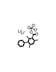 Cc1cc(C)c(-c2ccccc2)c(C)c1C(=O)OP(=O)([O-])[O-].[Li+].[Li+]